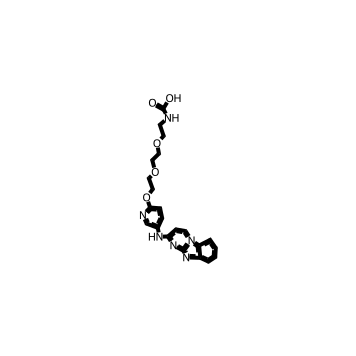 O=C(O)NCCOCCOCCOc1ccc(Nc2ccn3c(n2)nc2ccccc23)cn1